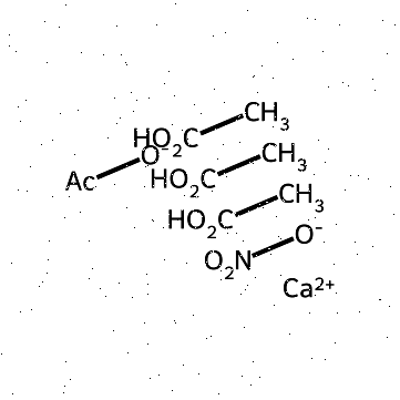 CC(=O)O.CC(=O)O.CC(=O)O.CC(=O)[O-].O=[N+]([O-])[O-].[Ca+2]